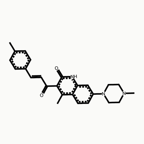 Cc1ccc(C=CC(=O)c2c(C)c3ccc(N4CCN(C)CC4)cc3[nH]c2=O)cc1